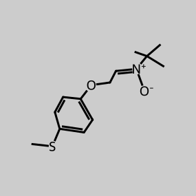 CSc1ccc(OCC=[N+]([O-])C(C)(C)C)cc1